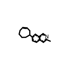 Cc1cc2ccc(C3CC=CCCCC3)cc2cn1